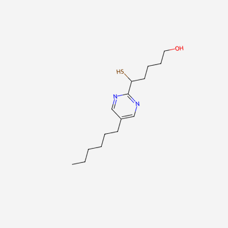 CCCCCCc1cnc(C(S)CCCCO)nc1